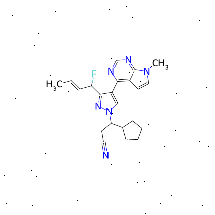 C/C=C/C(F)c1nn(C(CC#N)C2CCCC2)cc1-c1ncnc2c1ccn2C